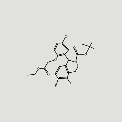 CCOC(=O)COc1ccc(Cl)cc1C1c2ccc(F)c(F)c2CCN1C(=O)OC(C)(C)C